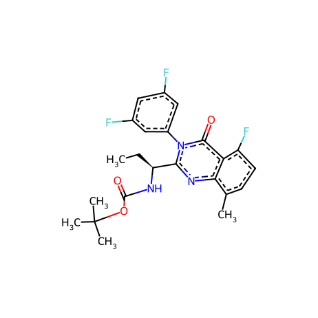 CC[C@H](NC(=O)OC(C)(C)C)c1nc2c(C)ccc(F)c2c(=O)n1-c1cc(F)cc(F)c1